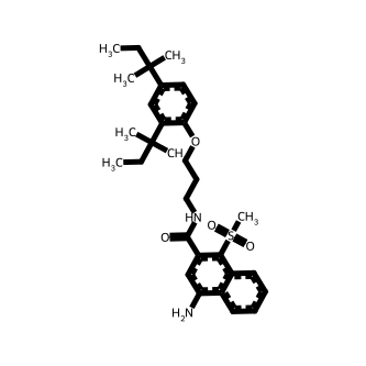 CCC(C)(C)c1ccc(OCCCNC(=O)c2cc(N)c3ccccc3c2S(C)(=O)=O)c(C(C)(C)CC)c1